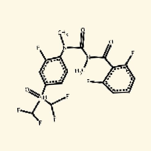 CN(C(=O)c1c(F)cccc1F)C(=O)N(C)c1ccc([SH](=O)(C(F)F)C(F)F)cc1F